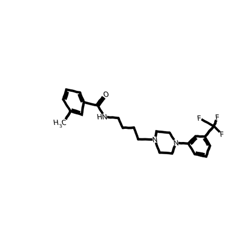 Cc1cccc(C(=O)NCCCCN2CCN(c3cccc(C(F)(F)F)c3)CC2)c1